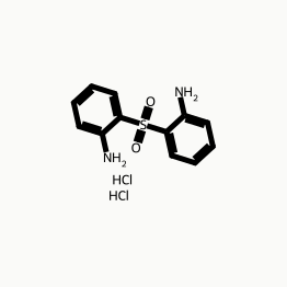 Cl.Cl.Nc1ccccc1S(=O)(=O)c1ccccc1N